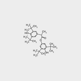 CC(C(=O)Oc1cc(C(C)(C)C)c(O)c(C(C)(C)C)c1)c1cc(C(C)(C)C)c(O)c(C(C)(C)C)c1